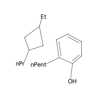 CCCC1CC(CC)C1.CCCCCc1ccccc1O